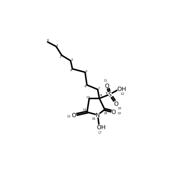 CCCCCCCCC1(S(=O)(=O)O)CC(=O)N(O)C1=O